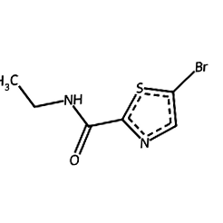 CCNC(=O)c1ncc(Br)s1